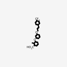 Cc1c(Oc2cccc(OC/C=C/c3ccc(C(F)(F)F)cc3)c2)cccc1C(=O)O